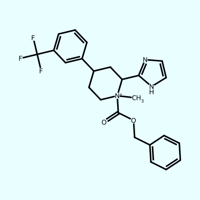 C[N+]1(C(=O)OCc2ccccc2)CCC(c2cccc(C(F)(F)F)c2)CC1c1ncc[nH]1